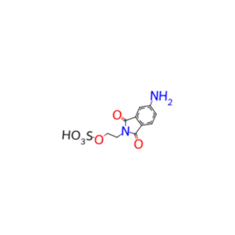 Nc1ccc2c(c1)C(=O)N(CCOS(=O)(=O)O)C2=O